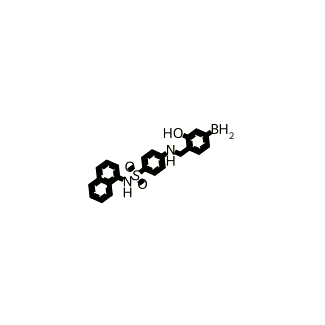 Bc1ccc(CNc2ccc(S(=O)(=O)Nc3cccc4ccccc34)cc2)c(O)c1